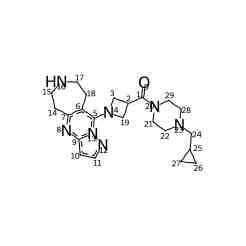 O=C(C1CN(c2c3c(nc4ccnn24)CCNCC3)C1)N1CCN(CC2CC2)CC1